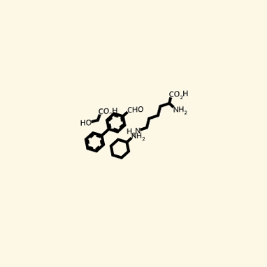 NC1CCCCC1.NCCCCC(N)C(=O)O.O=C(O)CO.O=Cc1ccc(-c2ccccc2)cc1